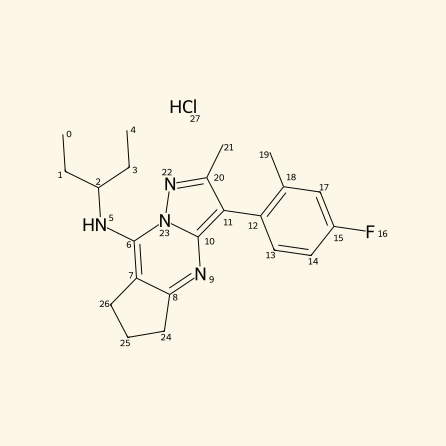 CCC(CC)Nc1c2c(nc3c(-c4ccc(F)cc4C)c(C)nn13)CCC2.Cl